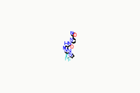 O=C(Nc1cccc(-c2cnco2)n1)c1cnn2ccc(N3CCC[C@@H]3C(F)(F)F)nc12